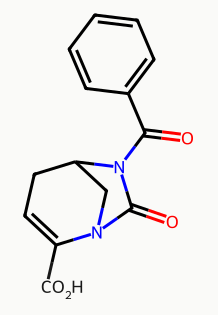 O=C(O)C1=CCC2CN1C(=O)N2C(=O)c1ccccc1